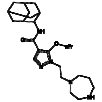 CCCOc1c(C(=O)NC2C3CC4CC(C3)CC2C4)cnn1CCN1CCCNCC1